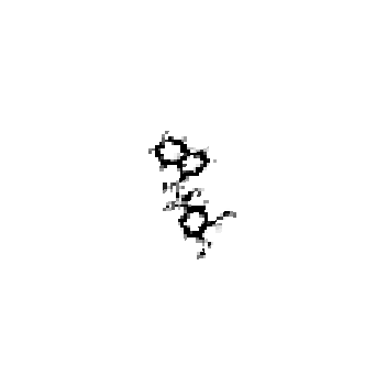 COc1ccc(S(=O)(=O)Nc2cccc3cnccc23)cc1OC